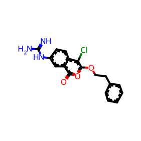 N=C(N)Nc1ccc2c(Cl)c(OCCc3ccccc3)oc(=O)c2c1